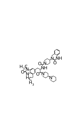 CCc1cc(CC(NC(=O)N2CCC(N3Cc4ccccc4NC3=O)CC2)C(=O)N2CCC(N3CCCCC3)CC2)cc2c1[nH]c(=O)n2C